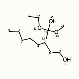 CCCCCCCCO.CCOC(C)(O)OC